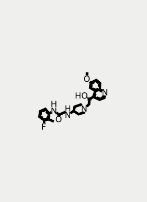 COc1ccc2nccc([C@@H](O)CN3CCC(NCC(=O)Nc4cccc(F)c4C)CC3)c2c1